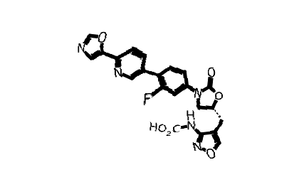 O=C(O)Nc1nocc1C[C@@H]1CN(c2ccc(-c3ccc(-c4cnco4)nc3)c(F)c2)C(=O)O1